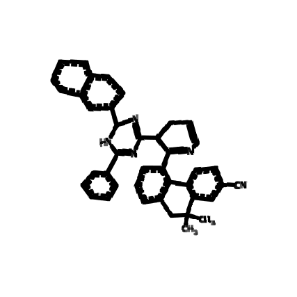 CC1(C)Cc2cccc(C3=NC=CCC3C3=NC(c4ccc5ccccc5c4)NC(c4ccccc4)=N3)c2-c2ccc(C#N)cc21